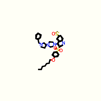 CCCCCCCOc1ccc(S(=O)(=O)c2cnc3ccc([S+](C)[O-])cc3c2N2CCN(C3CCN(Cc4ccccc4)C3)CC2)cc1